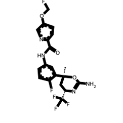 C[C@@]1(c2cc(NC(=O)c3ccc(OCF)cn3)ccc2F)C[C@@H](C(F)(F)F)N=C(N)O1